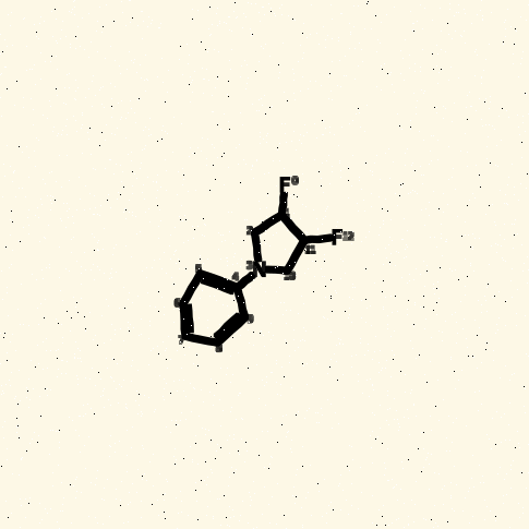 FC1CN(c2ccccc2)CC1F